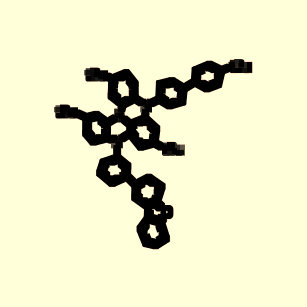 CC(C)(C)c1ccc(-c2ccc(N3c4ccc(C(C)(C)C)cc4B4c5cc(C(C)(C)C)ccc5N(c5cccc(-c6ccc7oc8ccccc8c7c6)c5)c5cc(C(C)(C)C)cc3c54)cc2)cc1